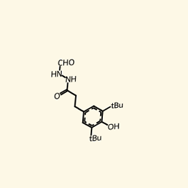 CC(C)(C)c1cc(CCC(=O)NNC=O)cc(C(C)(C)C)c1O